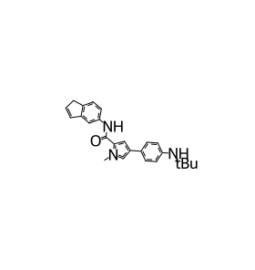 Cn1cc(-c2ccc(NC(C)(C)C)cc2)cc1C(=O)Nc1ccc2c(c1)C=CC2